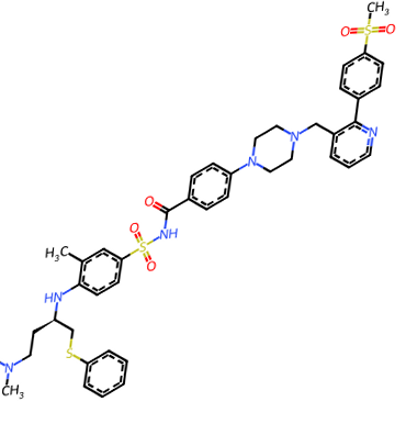 Cc1cc(S(=O)(=O)NC(=O)c2ccc(N3CCN(Cc4cccnc4-c4ccc(S(C)(=O)=O)cc4)CC3)cc2)ccc1N[C@H](CCN(C)C)CSc1ccccc1